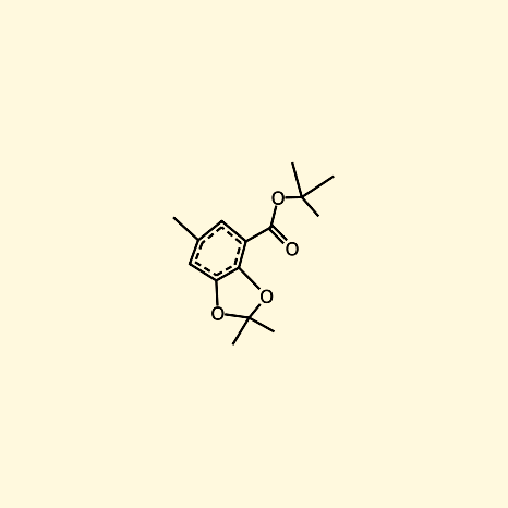 Cc1cc2c(c(C(=O)OC(C)(C)C)c1)OC(C)(C)O2